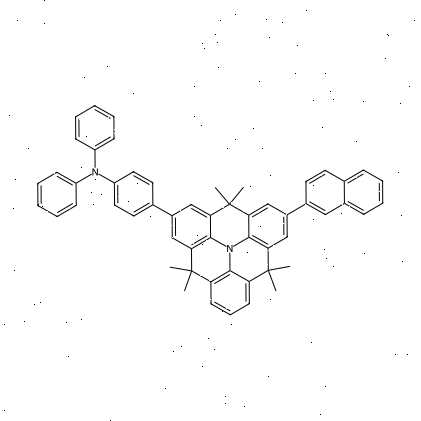 CC1(C)c2cccc3c2N2c4c1cc(-c1ccc(N(c5ccccc5)c5ccccc5)cc1)cc4C(C)(C)c1cc(-c4ccc5ccccc5c4)cc(c12)C3(C)C